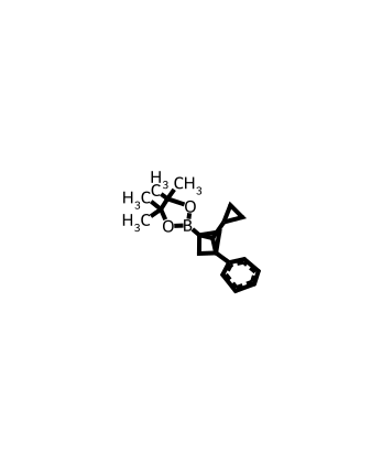 CC1(C)OB(C23CC(c4ccccc4)(C2)C3C2CC2)OC1(C)C